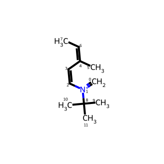 C=[N+](/C=C\C(C)=C/C)C(C)(C)C